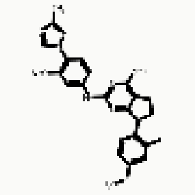 CNc1nc(Nc2ccc(-n3cnc(C)n3)c(OC)c2)nc2c1CCC2c1ccc(OC(F)(F)F)cc1F